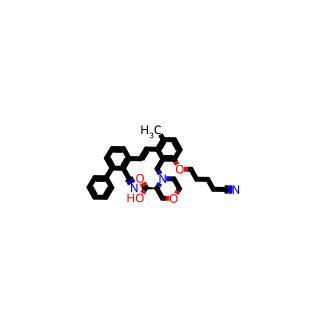 Cc1ccc(OCCCCC#N)c(CN2CCOC[C@H]2C(=O)O)c1/C=C/c1cccc(-c2ccccc2)c1C#N